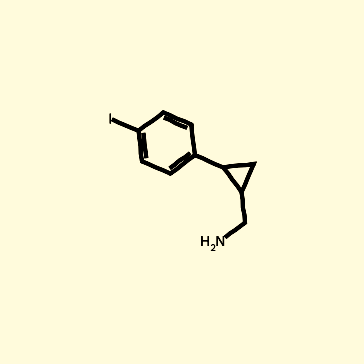 NCC1CC1c1ccc(I)cc1